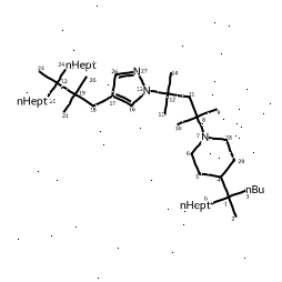 CCCCCCCC(C)(CCCC)C1CCN(C(C)(C)CC(C)(C)n2cc(CC(C)(C)C(C)(CCCCCCC)CCCCCCC)cn2)CC1